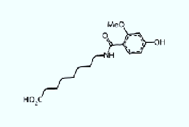 COc1cc(O)ccc1C(=O)NCCCCCCCC(=O)O